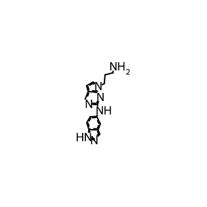 NCCCn1ccc2cnc(Nc3ccc4[nH]ncc4c3)nc21